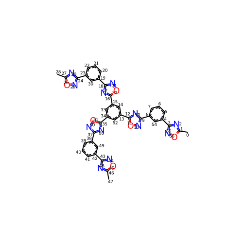 Cc1nc(-c2cccc(-c3noc(-c4cc(-c5nc(-c6cccc(-c7noc(C)n7)c6)no5)cc(-c5nc(-c6cccc(-c7noc(C)n7)c6)no5)c4)n3)c2)no1